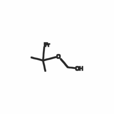 CC(C)C(C)(C)OCO